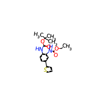 CCOC(=O)Nc1cc(-c2cccs2)ccc1NC(=O)OC(C)(C)C